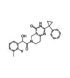 Cc1cccc(C(O)C(=O)N2CCc3nc(C4(c5ccccc5)CC4)[nH]c(=O)c3C2)c1F